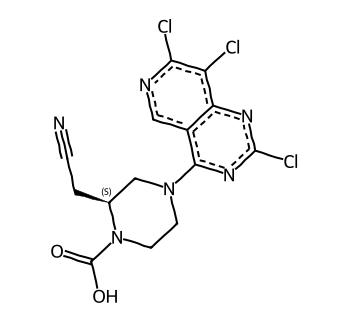 N#CC[C@H]1CN(c2nc(Cl)nc3c(Cl)c(Cl)ncc23)CCN1C(=O)O